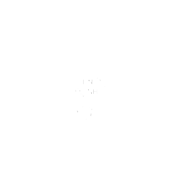 O=C(NNC(=O)C1CCCC1)c1cccc(I)c1